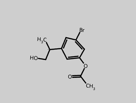 C[C](CO)c1cc(Br)cc(OC(C)=O)c1